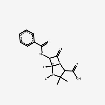 CC1(C)C(C(=O)O)N2C(=O)C(NC(=O)c3ccccc3)[C@H]2[S+]1[O-]